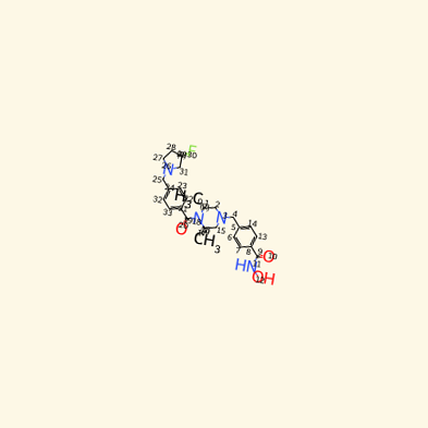 C[C@@H]1CN(Cc2ccc(C(=O)NO)cc2)C[C@H](C)N1C(=O)c1ccc(CN2CC[C@@H](F)C2)cc1